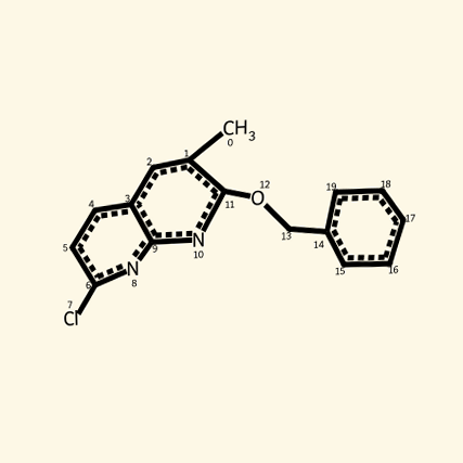 Cc1cc2ccc(Cl)nc2nc1OCc1ccccc1